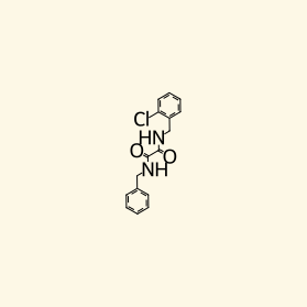 O=C(NCc1ccccc1)C(=O)NCc1ccccc1Cl